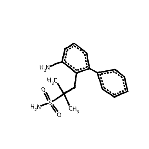 CC(C)(Cc1c(N)cccc1-c1ccccc1)S(N)(=O)=O